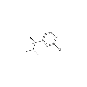 CC(C)[C@@H](C)c1ccnc(Cl)n1